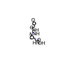 CN/C(CNC(=O)Cc1ccc(OC)cc1)=N\c1cccc(/C=C/C(=O)NO)c1